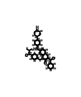 CC(C)[S+]([O-])c1ccc(Cn2c(=O)c(C(=O)c3ccccc3)cc3cnc(Nc4ccc(C5CCNCC5)cc4)nc32)cc1